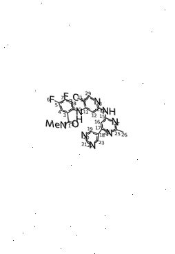 CNC(=O)c1cc(F)ccc1Nc1cc(Nc2cc(-c3cncnc3)nc(C)n2)ncc1C(F)(F)F